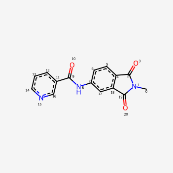 CN1C(=O)c2ccc(NC(=O)c3cccnc3)cc2C1=O